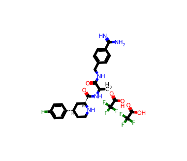 CC(NC(=O)[C@H]1C[C@@H](c2ccc(F)cc2)CCN1)C(=O)NCc1ccc(C(=N)N)cc1.O=C(O)C(F)(F)F.O=C(O)C(F)(F)F